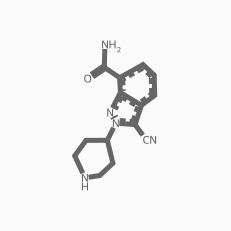 N#Cc1c2cccc(C(N)=O)c2nn1C1CCNCC1